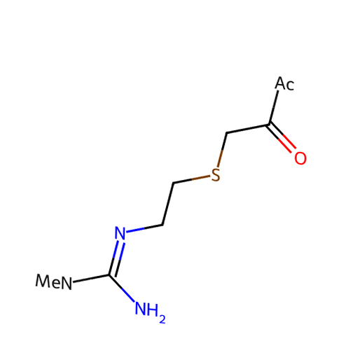 CNC(N)=NCCSCC(=O)C(C)=O